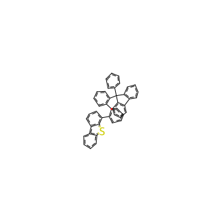 c1ccc(C2(c3ccccc3-c3ccccc3-c3cccc4c3sc3ccccc34)c3ccccc3-c3ccccc32)cc1